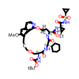 CC[C@@H]1C[C@]1(NC(=O)[C@@H]1C[C@@H]2CN1C(=O)[C@H](C1CCCCC1)NC(=O)[C@@H](NC(=O)OC(C)(C)C)COCCCc1cc3c(nccc3cc1OC)O2)C(=O)NS(=O)(=O)C1CC1